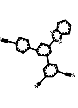 N#Cc1ccc(-c2cc(-c3cc(C#N)cc(C#N)c3)cc(-c3nc4ccccc4s3)c2)cc1